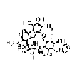 CNC(=O)C(N1Cc2c(OCc3c(C)c(O)c(CN4CCOCC4)c(C)c3F)c(C)c(O)c(O)c2C1=O)C(O)(O)C(C)(O)C=O